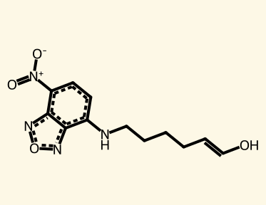 O=[N+]([O-])c1ccc(NCCCCC=CO)c2nonc12